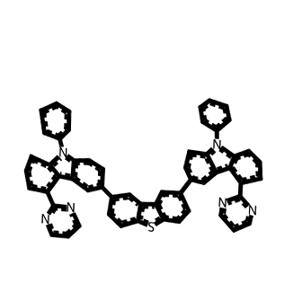 c1ccc(-n2c3ccc(-c4ccc5sc6ccc(-c7ccc8c(c7)c7c(-c9ncccn9)cccc7n8-c7ccccc7)cc6c5c4)cc3c3c(-c4ncccn4)cccc32)cc1